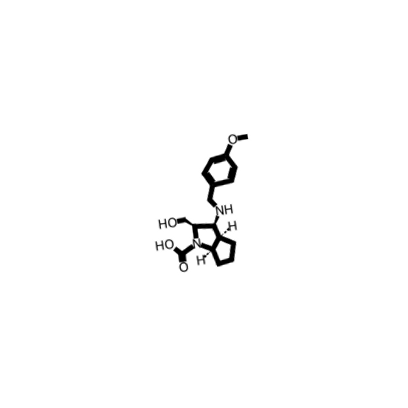 COc1ccc(CN[C@H]2[C@H]3CCC[C@H]3N(C(=O)O)[C@H]2CO)cc1